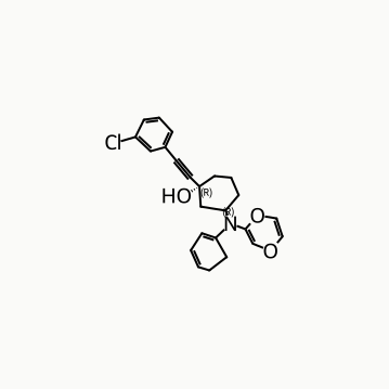 O[C@]1(C#Cc2cccc(Cl)c2)CCC[C@@H](N(C2=CC=CCC2)C2=COC=CO2)C1